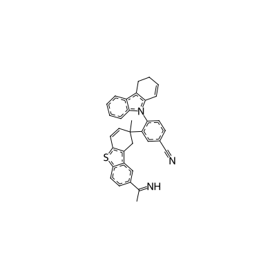 CC(=N)c1ccc2sc3c(c2c1)CC(C)(c1cc(C#N)ccc1-n1c2c(c4ccccc41)CCC=C2)C=C3